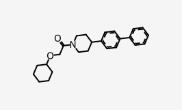 O=C(COC1CCCCC1)N1CCC(c2ccc(-c3ccccc3)cc2)CC1